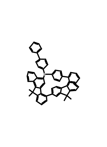 CC1(C)c2ccccc2-c2ccc(-c3cccc4c3-c3cc(N(c5ccc(-c6ccccc6)cc5)c5ccc(-c6ccccc6)cc5)c5ccccc5c3C4(C)C)cc21